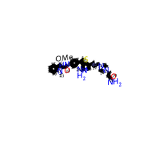 COc1cc(-c2csc3c(/C=C/CN4CCN(CCC(N)=O)CC4)cnc(N)c23)ccc1NC(=O)c1cc2ccccc2n1C